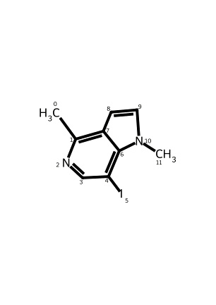 Cc1ncc(I)c2c1ccn2C